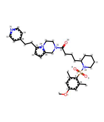 COc1cc(C)c(S(=O)(=O)N2CCCCC2CCCC(=O)N2CCn3c(CCc4ccncc4)ccc3C2)c(C)c1